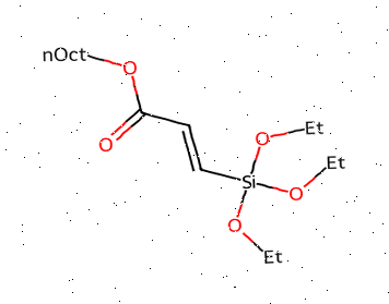 CCCCCCCCOC(=O)C=C[Si](OCC)(OCC)OCC